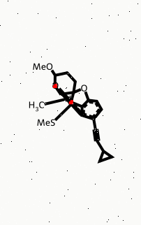 COC1CCC2(CC1)Oc1ccc(C#CC3CC3)cc1C21N=C(SC)N(C)C1=O